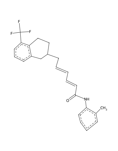 Cc1ccccc1NC(=O)C=CC=CCC1CCc2c(cccc2C(F)(F)F)C1